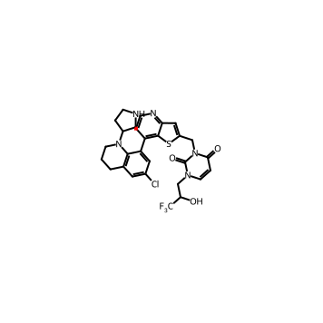 O=c1ccn(CC(O)C(F)(F)F)c(=O)n1Cc1cc2nccc(-c3cc(Cl)cc4c3N(C3CCNC3)CCC4)c2s1